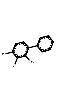 Oc1ccc(-c2ccccc2)c(O)c1F